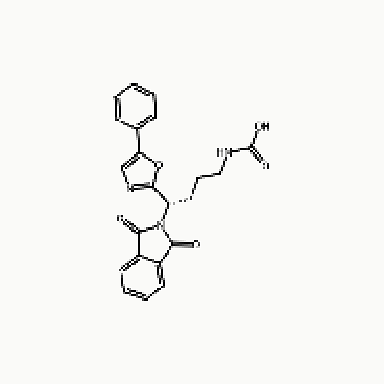 O=C(O)NCCC[C@@H](c1ncc(-c2ccccc2)o1)N1C(=O)c2ccccc2C1=O